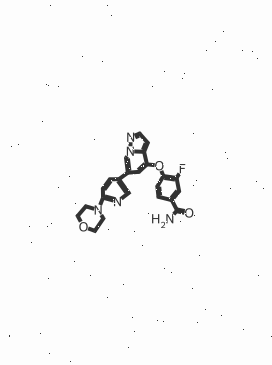 NC(=O)c1ccc(Oc2cc(-c3ccc(N4CCOCC4)nc3)cn3nccc23)c(F)c1